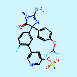 CN1C(=O)C(c2ccc(OC(F)F)cc2)(c2ccc(F)c(-c3cncc(OS(C)(=O)=O)c3)c2)N=C1N